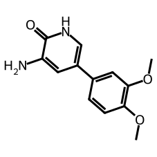 COc1ccc(-c2c[nH]c(=O)c(N)c2)cc1OC